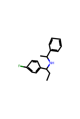 CCC(NC(C)c1ccccc1)c1ccc(F)cc1